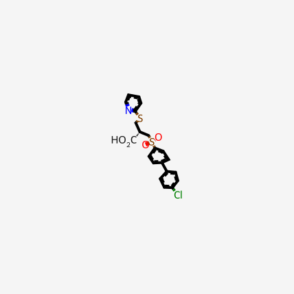 O=C(O)[C@H](CSc1ccccn1)CS(=O)(=O)c1ccc(-c2ccc(Cl)cc2)cc1